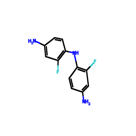 Nc1ccc(Nc2ccc(N)cc2F)c(F)c1